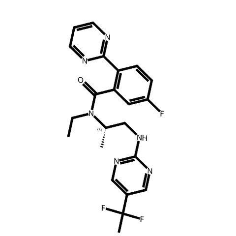 CCN(C(=O)c1cc(F)ccc1-c1ncccn1)[C@@H](C)CNc1ncc(C(C)(F)F)cn1